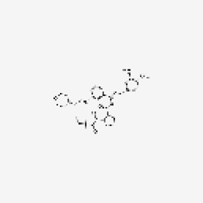 CCC(C)(C)C(=O)C(=O)N1CCCC1C(=O)O[C@H](CCc1ccc(OC)c(OC)c1)c1cccc(OCCN2CCOCC2)c1